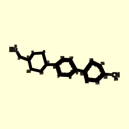 CCC(C)CC1CCC(c2ccc(-c3ccc(C#N)cc3)cc2)CC1